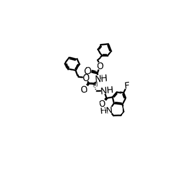 O=C(N[C@H](CNC(=O)c1cc(F)cc2c1NCCC2)C(=O)OCc1ccccc1)OCc1ccccc1